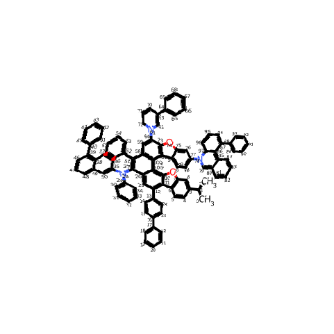 CC(C)c1ccc2c(c1)oc1c2c(-c2ccc(-c3ccccc3)cc2)cc2c(N(c3ccccc3)c3ccc4c(-c5ccccc5)cccc4c3)c(-c3ccccc3)c3cc(N4C=C(c5ccccc5)C=CC4)c4oc5cc(N6C=c7ccccc7=C7C(c8ccccc8)=CC=CC76)ccc5c4c3c21